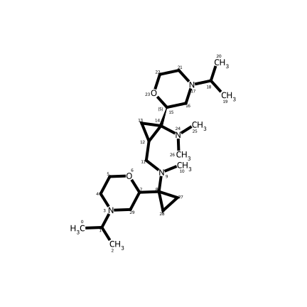 CC(C)N1CCOC(C2(N(C)CC3CC3([C@@H]3CN(C(C)C)CCO3)N(C)C)CC2)C1